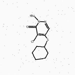 CC(C)(C)n1ncc(SC2CCCCC2)c(Cl)c1=O